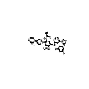 C=CC(=O)Nc1cc(Nc2cc(N3OCC[C@@H]3c3cc(F)cc(F)c3)ncn2)c(OC)cc1N1CCC(N2CCOC[C@H]2C)CC1